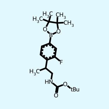 CC(CNC(=O)OC(C)(C)C)c1ccc(B2OC(C)(C)C(C)(C)O2)cc1F